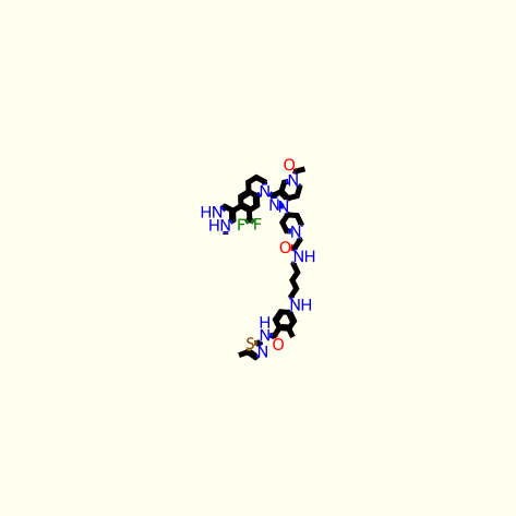 CN/C=C(\C=N)c1cc2c(cc1C(F)F)N(c1nn(C3CCN(CC(=O)NCCCCCNc4ccc(C(=O)Nc5ncc(C)s5)c(C)c4)CC3)c3c1CN(C(C)=O)CC3)CCC2